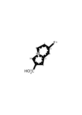 O=C(O)c1cc2cc(F)ccn2c1